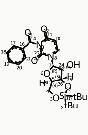 CC(C)(C)[Si]1(C(C)(C)C)OC[C@H]2O[C@@H](n3ccc(=O)n(C(=O)c4ccccc4)c3=O)[C@H](O)[C@@H]2O1